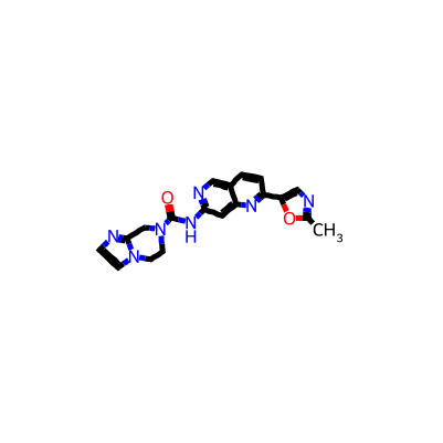 Cc1ncc(-c2ccc3cnc(NC(=O)N4CCn5ccnc5C4)cc3n2)o1